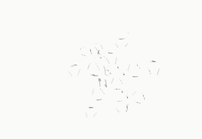 CC(C)(C)c1ccc(-c2cc3c(c4oc5ccccc5c24)B2c4c(cc(-n5c6ccccc6c6ccccc65)cc4N(c4ccc(-c5ccccc5)cc4)c4cc(-c5ccc(C(C)(C)C)cc5)c5c(oc6ccccc65)c42)N3c2ccc(-c3ccccc3)cc2)cc1